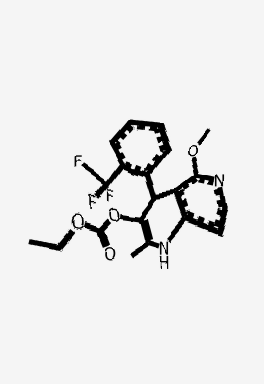 CCOC(=O)OC1=C(C)Nc2ccnc(OC)c2C1c1ccccc1C(F)(F)F